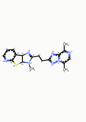 Cc1ncc(C)n2nc(CCC3=NC4c5cccnc5SC4N3C)nc12